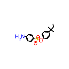 CCC(C)(C)c1ccc(OS(=O)(=O)c2ccc(N)cc2)cc1